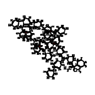 CC1(C)c2ccccc2-c2ccc(N(c3ccc(-c4ccccc4)cc3)c3ccc(-c4ccc5c(c4)c4ccccc4n5-c4ccc(-c5ccc6c7ccc8c9ccccc9n(-c9ccccc9)c8c7n(-c7cccc(-c8cccc(-n9c%10ccccc%10c%10ccc%11c%12ccccc%12n(-c%12ccccc%12)c%11c%109)c8)c7)c6c5)cc4)cc3)cc21